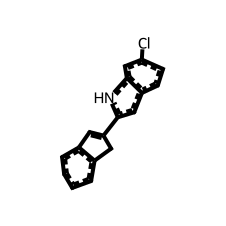 Clc1ccc2cc(C3=Cc4ccccc4C3)[nH]c2c1